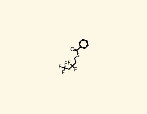 O=C(SCCC(F)(F)CC(F)(F)F)c1ccccc1